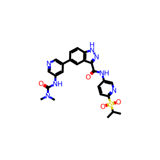 CC(C)S(=O)(=O)c1ccc(NC(=O)c2n[nH]c3ccc(-c4cncc(NC(=O)N(C)C)c4)cc23)cn1